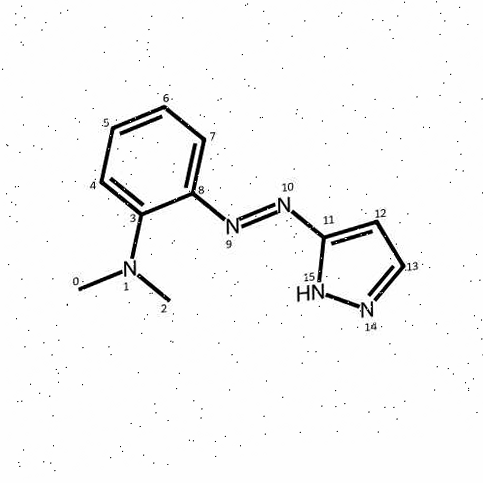 CN(C)c1ccccc1N=Nc1ccn[nH]1